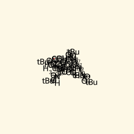 CN(C(=O)OC(C)(C)C)[C@@H]1[C@@H](O)[C@@H](O[C@H]2[C@H](NC(=O)C3(O)CC(NC(=O)OC(C)(C)C)C3)C[C@H](NC(=O)OC(C)(C)C)C([C@H]3OC(CNCCCNC(=O)OC(C)(C)C)=CC[C@H]3NC(=O)OC(C)(C)C)[C@@H]2O)OC[C@]1(C)O